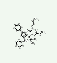 COCCNC(=O)N(C[C@@H](F)CN)[C@@H](c1nc(-c2ccccc2)cn1Cc1ccccc1)C(C)(C)C